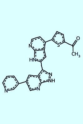 CC(=O)c1ccc(-c2ccnc3[nH]c(-c4n[nH]c5ncc(-c6cccnc6)cc45)cc23)s1